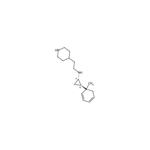 CC1([C@H]2C[C@@H]2NCCC2CCNCC2)C=CC=CC1